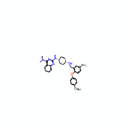 COc1ccc(Oc2ccc([N+](=O)[O-])cc2CN[C@H]2CC[C@@H](Nc3nc(N(C)C)c4ccccc4n3)CC2)cc1